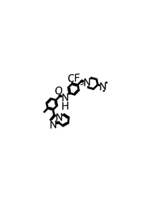 Cc1ccc(C(=O)Nc2ccc(CN3CCC(N(C)C)CC3)c(C(F)(F)F)c2)cc1-c1cnc2ccccn12